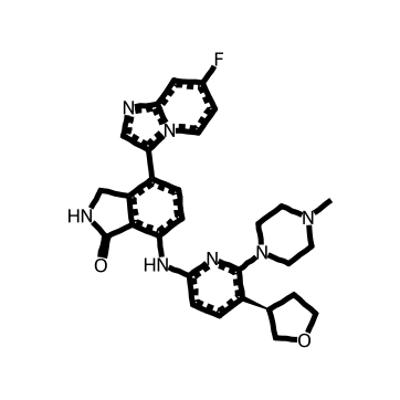 CN1CCN(c2nc(Nc3ccc(-c4cnc5cc(F)ccn45)c4c3C(=O)NC4)ccc2[C@H]2CCOC2)CC1